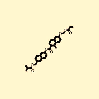 C=CC(=O)OCOc1ccc2c(C)c(C(=O)Oc3ccc4cc(COC(=O)C(=C)C)ccc4c3)ccc2c1